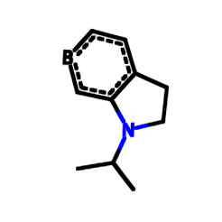 CC(C)N1CCc2ccbcc21